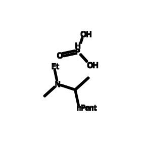 CCCCCC(C)N(C)CC.O=[PH](O)O